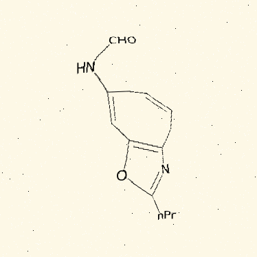 CCCc1nc2ccc(NC=O)cc2o1